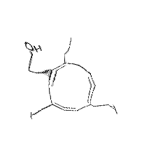 OCc1c(I)cc(I)cc1I